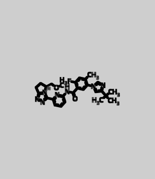 COC[C@@H]1CCc2nnc(-c3cccc(NC(=O)c4cc(-n5cnc(C(C)(C)C)c5)c(C)cc4F)n3)n21